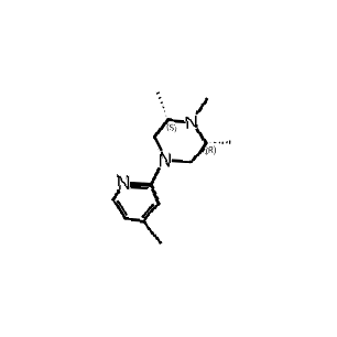 Cc1ccnc(N2C[C@@H](C)N(C)[C@@H](C)C2)c1